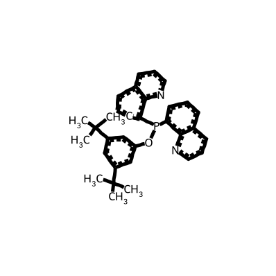 CC(C)(C)c1cc(OP(c2cccc3cccnc23)c2cccc3cccnc23)cc(C(C)(C)C)c1